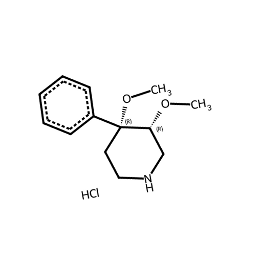 CO[C@@H]1CNCC[C@@]1(OC)c1ccccc1.Cl